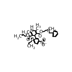 C=CCOP(=O)(OCC=C)C1=C(C)NC(C)=C(C(=O)OCCN(C)Cc2ccccc2)C1c1cccc([N+](=O)[O-])c1